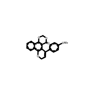 COc1ccc(C2=CCOc3c2c2c(c4ccccc34)OCOC2=O)cc1